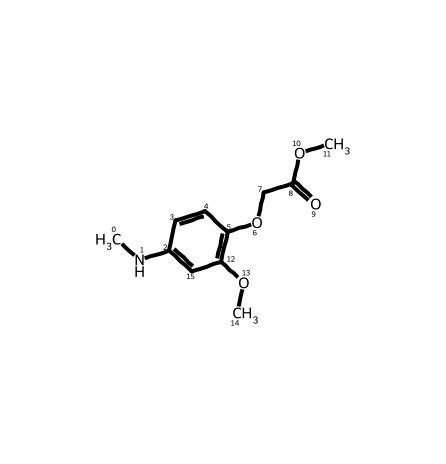 CNc1ccc(OCC(=O)OC)c(OC)c1